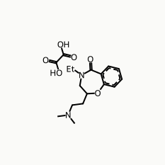 CCN1CC(CCN(C)C)Oc2ccccc2C1=O.O=C(O)C(=O)O